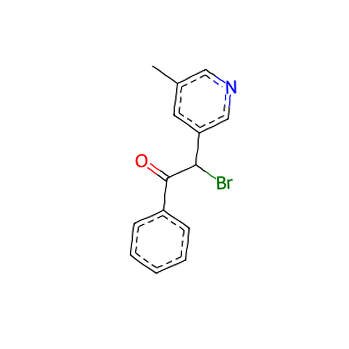 Cc1cncc(C(Br)C(=O)c2ccccc2)c1